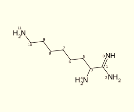 N=C(N)C(N)CCCCCCN